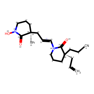 C=CC[C@]1(CCC#N)CCCN(/C=C/C[C@]2(CCC)CCCN(O)C2=O)C1=O